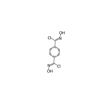 ON=C(Cl)c1ccc(C(Cl)=NO)cc1